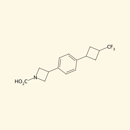 O=C(O)N1CC(c2ccc(C3CC(C(F)(F)F)C3)cc2)C1